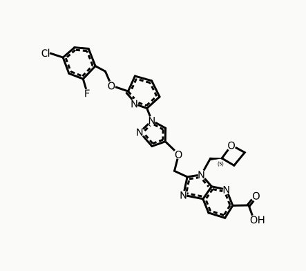 O=C(O)c1ccc2nc(COc3cnn(-c4cccc(OCc5ccc(Cl)cc5F)n4)c3)n(C[C@@H]3CCO3)c2n1